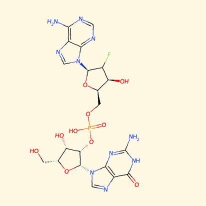 Nc1nc2c(ncn2[C@@H]2O[C@H](CO)[C@H](O)[C@@H]2OP(=O)(O)OC[C@H]2O[C@@H](n3cnc4c(N)ncnc43)C(F)[C@H]2O)c(=O)[nH]1